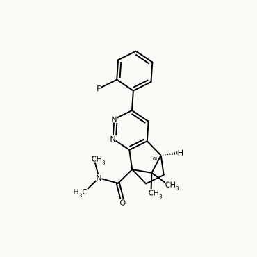 CN(C)C(=O)C12CC[C@H](c3cc(-c4ccccc4F)nnc31)C2(C)C